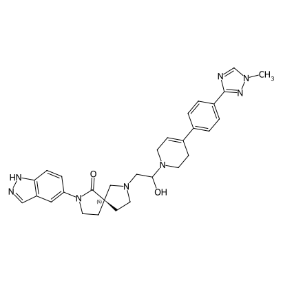 Cn1cnc(-c2ccc(C3=CCN(C(O)CN4CC[C@]5(CCN(c6ccc7[nH]ncc7c6)C5=O)C4)CC3)cc2)n1